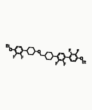 CCOc1ccc(-c2ccc(C3CCC(COC4CCC(c5ccc(OCC)c(F)c5F)CC4)CC3)c(F)c2F)c(F)c1F